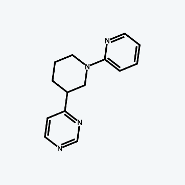 c1ccc(N2CCCC(c3ccncn3)C2)nc1